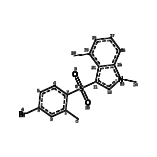 Cc1cc(Br)ccc1S(=O)(=O)c1cn(C)c2cccc(C)c12